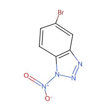 O=[N+]([O-])n1nnc2cc(Br)ccc21